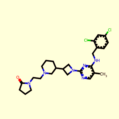 Cc1cnc(N2CC(C3CCCN(CCN4CCCC4=O)C3)C2)nc1NCc1ccc(Cl)cc1Cl